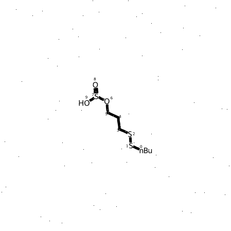 CCCCSSCCCOS(=O)O